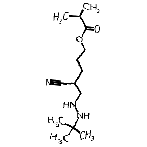 CC(C)C(=O)OCCCC(C#N)CNNC(C)(C)C